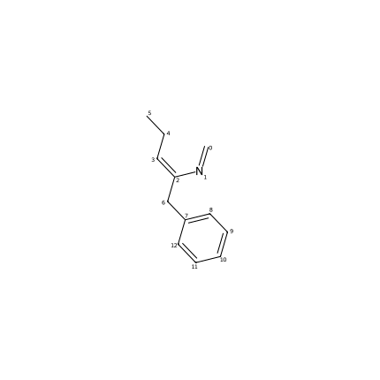 C=N/C(=C\CC)Cc1ccccc1